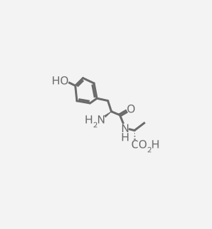 C[C@@H](NC(=O)[C@@H](N)Cc1ccc(O)cc1)C(=O)O